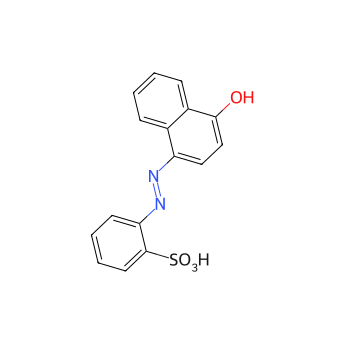 O=S(=O)(O)c1ccccc1/N=N/c1ccc(O)c2ccccc12